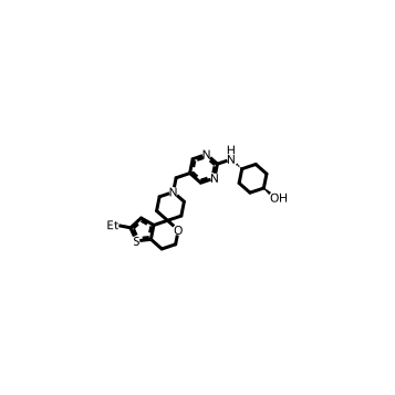 CCc1cc2c(s1)CCOC21CCN(Cc2cnc(N[C@H]3CC[C@H](O)CC3)nc2)CC1